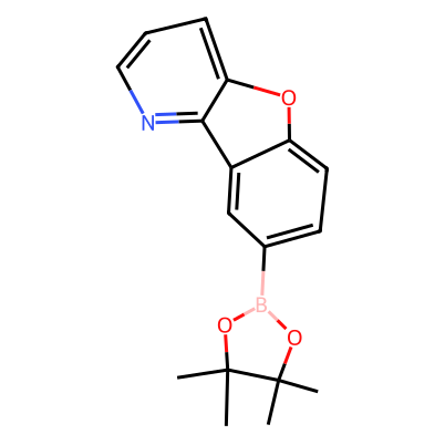 CC1(C)OB(c2ccc3oc4cccnc4c3c2)OC1(C)C